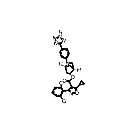 O=C(O[C@@H]1C[C@@H]2C[C@H]1CN2c1ccc(-c2nn[nH]n2)cc1)c1c(-c2c(Cl)cccc2Cl)noc1C1CC1